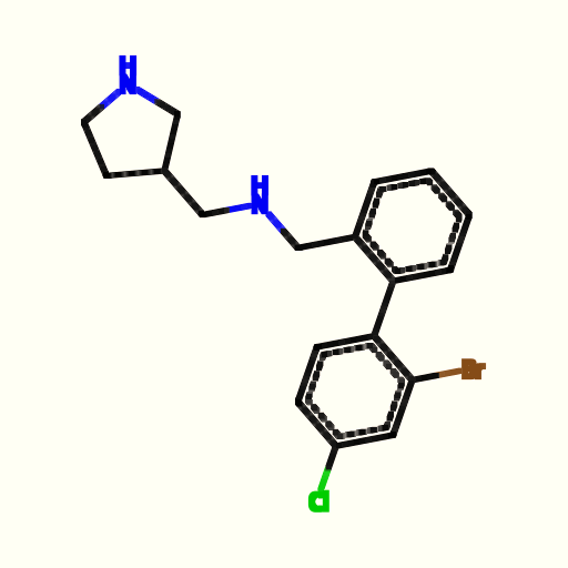 Clc1ccc(-c2ccccc2CNCC2CCNC2)c(Br)c1